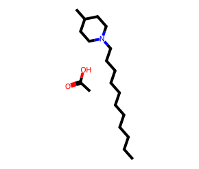 CC(=O)O.CCCCCCCCCCCN1CCC(C)CC1